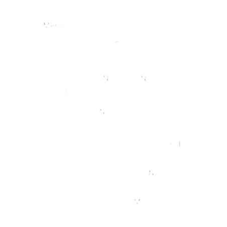 CCc1nc2c(-c3ccc(OC)nc3C)ccnc2n1C(CC)CCOC